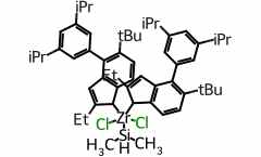 CCC1=Cc2c(ccc(C(C)(C)C)c2-c2cc(C(C)C)cc(C(C)C)c2)[CH]1[Zr]([Cl])([Cl])([CH]1C(CC)=Cc2c1ccc(C(C)(C)C)c2-c1cc(C(C)C)cc(C(C)C)c1)[SiH](C)C